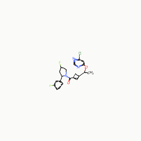 CC(Oc1cc(Cl)ncn1)C12CC(C(=O)N3CC(F)CC3c3cccc(F)c3)(C1)C2